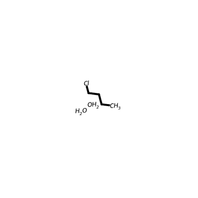 CCCCCl.O.O